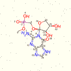 COP(=O)(O)CO[C@@]1(n2c(N)nc3nc[nH]c3c2=O)OC[C@@H](O)[C@H]1O